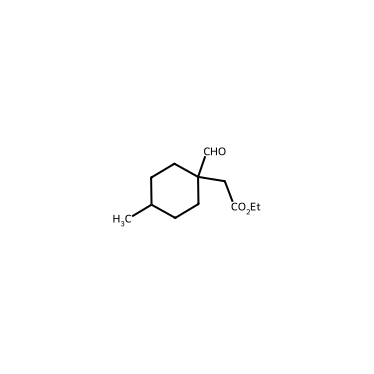 CCOC(=O)CC1(C=O)CCC(C)CC1